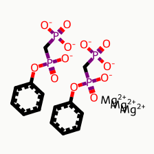 O=P([O-])([O-])CP(=O)([O-])Oc1ccccc1.O=P([O-])([O-])CP(=O)([O-])Oc1ccccc1.[Mg+2].[Mg+2].[Mg+2]